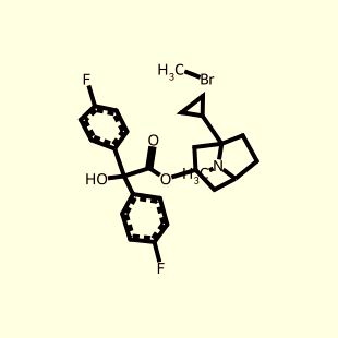 CBr.CN1C2CCC1(C1CC1)CC(OC(=O)C(O)(c1ccc(F)cc1)c1ccc(F)cc1)C2